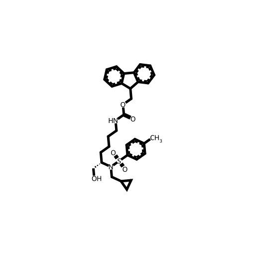 Cc1ccc(S(=O)(=O)N(CC2CC2)[C@H](CO)CCCCNC(=O)OCC2c3ccccc3-c3ccccc32)cc1